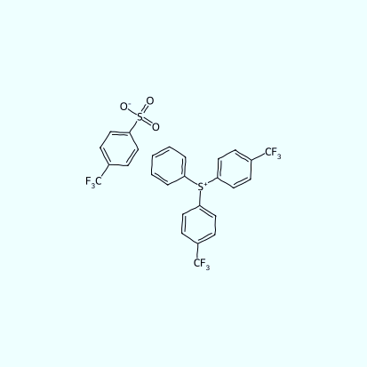 FC(F)(F)c1ccc([S+](c2ccccc2)c2ccc(C(F)(F)F)cc2)cc1.O=S(=O)([O-])c1ccc(C(F)(F)F)cc1